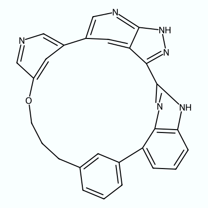 c1cc2cc(c1)-c1cccc3[nH]c(nc13)-c1n[nH]c3ncc(cc13)-c1cncc(c1)OCCC2